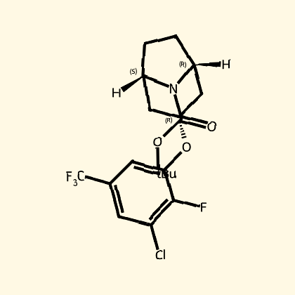 CC(C)(C)OC(=O)N1[C@@H]2CC[C@H]1C[C@@H](Oc1cc(C(F)(F)F)cc(Cl)c1F)C2